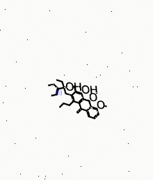 C=C1c2cccc(OC)c2C(=O)c2c(O)c(C)c(CC(O)(CC)/C(=C/C)CC)c(CCC)c21